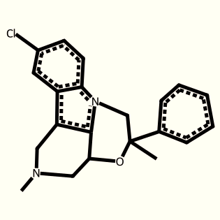 CN1Cc2c3n(c4ccc(Cl)cc24)CC(C)(c2ccccc2)OC3C1